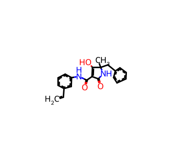 C=Cc1cccc(NC(=O)C2=C(O)C(C)(Cc3ccccc3)NC2=O)c1